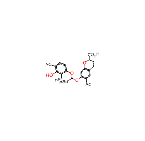 CCCCC(Oc1cc2c(cc1C(C)=O)CC[C@H](C(=O)O)O2)Oc1ccc(C(C)=O)c(O)c1CCC